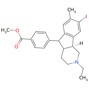 CCN1CCC2C(c3ccc(C(=O)OC)cc3)c3cc(C)c(I)cc3[C@H]2C1